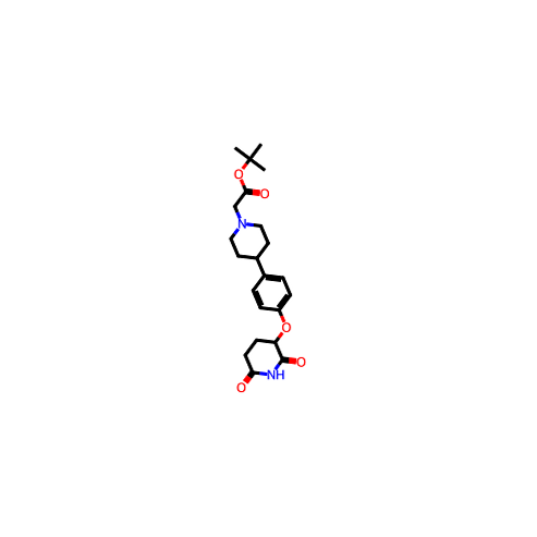 CC(C)(C)OC(=O)CN1CCC(c2ccc(OC3CCC(=O)NC3=O)cc2)CC1